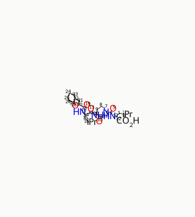 CC(C)CC(NC(=O)N1CCCC(NC(=O)C(CC(C)C)NC(=O)c2cc3ccccc3o2)C(=O)C1)C(=O)O